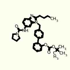 CCCCc1nc2ccc(NC(=O)N3CCCC3)cc2n1Cc1ccc(-c2ccccc2OC(=O)OC(C)(C)C)cc1